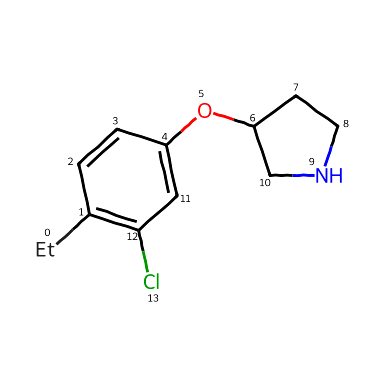 CCc1ccc(OC2CCNC2)cc1Cl